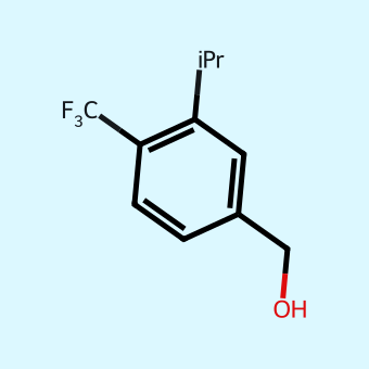 CC(C)c1cc(CO)ccc1C(F)(F)F